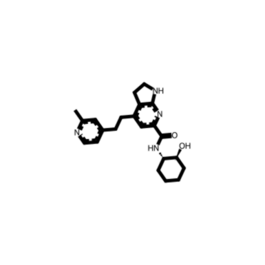 Cc1cc(CCc2cc(C(=O)N[C@H]3CCCC[C@@H]3O)nc3c2CCN3)ccn1